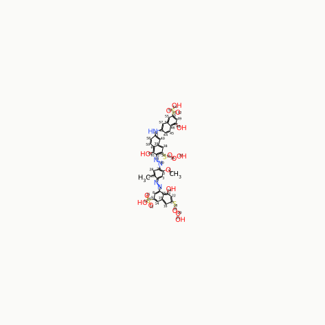 COc1cc(/N=N/c2cc(S(=O)(=O)O)cc3cc(SOOO)cc(O)c23)c(C)cc1/N=N/c1c(SOOO)cc2cc(Nc3ccc4c(O)cc(S(=O)(=O)O)cc4c3)ccc2c1O